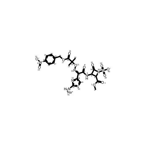 COC(=O)C1C(NC(=O)C(=NOC(C)(C)C(=O)OCc2ccc([N+](=O)[O-])cc2)c2csc(N)n2)C(=O)N1S(=O)(=O)[O-].[Na+]